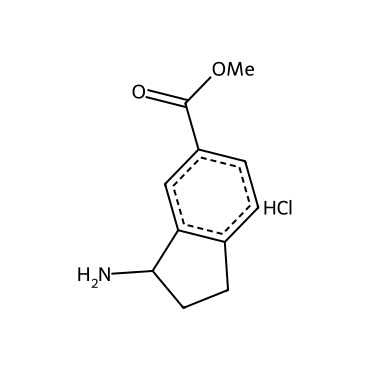 COC(=O)c1ccc2c(c1)C(N)CC2.Cl